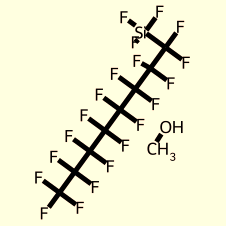 CO.FC(F)(F)C(F)(F)C(F)(F)C(F)(F)C(F)(F)C(F)(F)C(F)(F)C(F)(F)[Si](F)(F)F